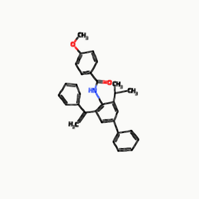 C=C(c1ccccc1)c1cc(-c2ccccc2)cc(C(C)C)c1NC(=O)c1ccc(OC)cc1